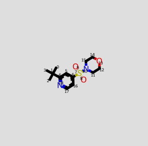 CC(C)(C)c1cc(S(=O)(=O)N2CCOCC2)ccn1